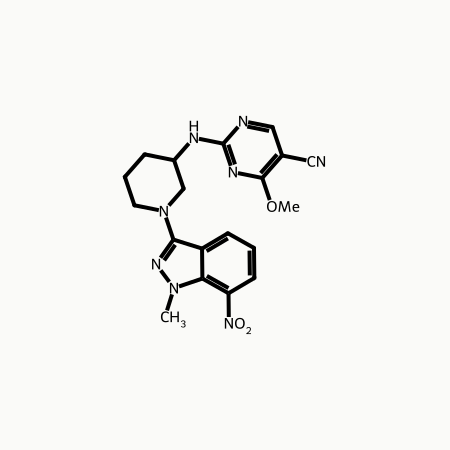 COc1nc(NC2CCCN(c3nn(C)c4c([N+](=O)[O-])cccc34)C2)ncc1C#N